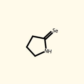 [Se]=C1CCCN1